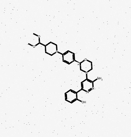 COC(OC)C1CCN(c2ccc([C@@H]3CN(c4cc(-c5ccccc5O)nnc4N)CCO3)cc2)CC1